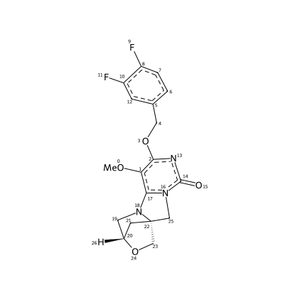 COc1c(OCc2ccc(F)c(F)c2)nc(=O)n2c1N1C[C@@H]3C[C@]1(CO3)C2